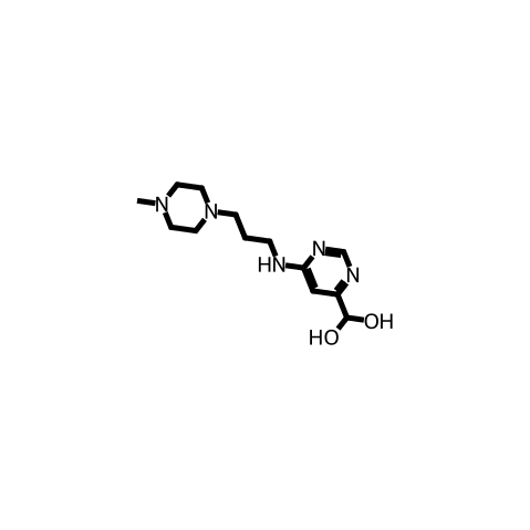 CN1CCN(CCCNc2cc(C(O)O)ncn2)CC1